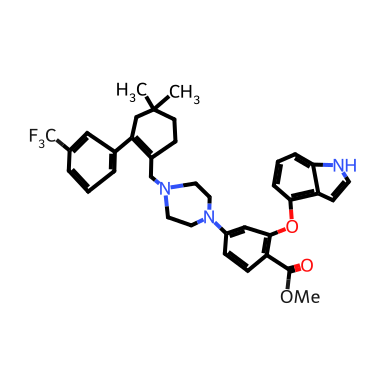 COC(=O)c1ccc(N2CCN(CC3=C(c4cccc(C(F)(F)F)c4)CC(C)(C)CC3)CC2)cc1Oc1cccc2[nH]ccc12